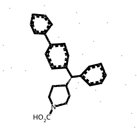 O=C(O)N1CCC([C@H](c2ccccc2)c2ccc(-c3ccccc3)cc2)CC1